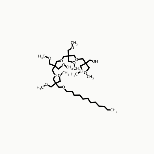 CCCCCCCCCCCCOCC(COC)(COC)COCC(COC)(COC)COCC(COC)(COC)COCC(CO)(COC)COC